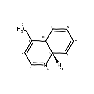 CC1=CC=N[C@H]2C=CC=CC12